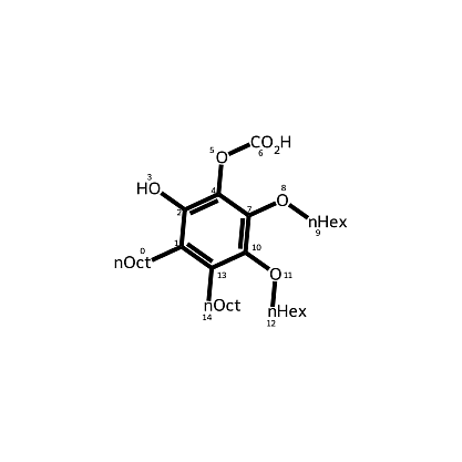 CCCCCCCCc1c(O)c(OC(=O)O)c(OCCCCCC)c(OCCCCCC)c1CCCCCCCC